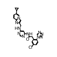 O=C(Cc1cc(Cl)ccc1-n1cnnn1)Nc1cc(NCc2cn3cc(C4CC4)ccc3n2)ncn1